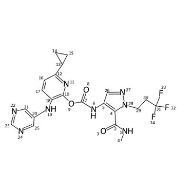 CNC(=O)c1c(NC(=O)Oc2nc(C3CC3)ccc2Nc2cncnc2)cnn1CCC(F)(F)F